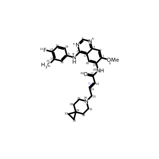 COc1cc2ncnc(Nc3ccc(F)c(C)c3)c2cc1NC(=O)/C=C/CN1CCC2(CC1)CC2